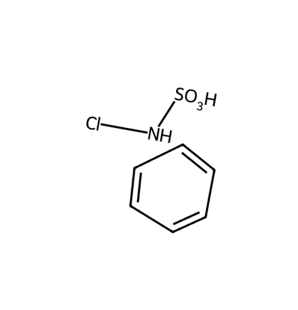 O=S(=O)(O)NCl.c1ccccc1